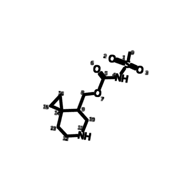 CS(=O)(=O)NC(=O)OCC1CNCCC12CC2